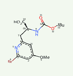 COc1cc(Br)nc(C[C@H](NC(=O)OC(C)(C)C)C(=O)O)c1